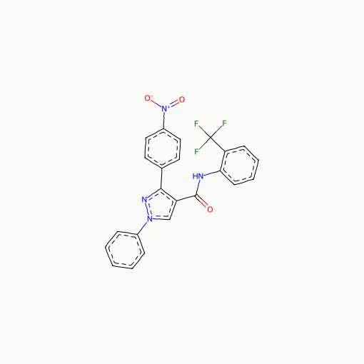 O=C(Nc1ccccc1C(F)(F)F)c1cn(-c2ccccc2)nc1-c1ccc([N+](=O)[O-])cc1